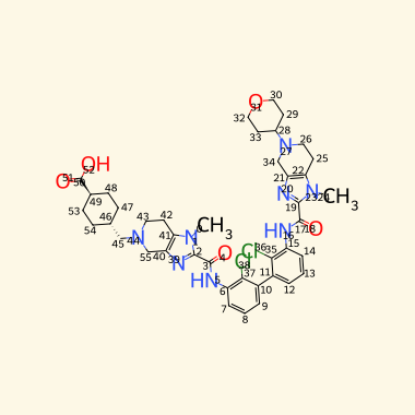 Cn1c(C(=O)Nc2cccc(-c3cccc(NC(=O)c4nc5c(n4C)CCN(C4CCOCC4)C5)c3Cl)c2Cl)nc2c1CCN(C[C@H]1CC[C@H](C(=O)O)CC1)C2